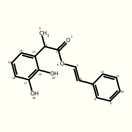 CC(C(=O)OC=Cc1ccccc1)c1cccc(O)c1O